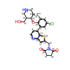 Cc1cc(Cl)cc(-c2ccnc3cc(CN4C(=O)CCC4=O)sc23)c1OC1CCNCC1CO